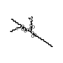 CCCCCCCCCCCCCCOC(=O)OCC(COC(=O)CC(=O)OC(CCCCCCCC)CCCCCCCC)COC(=O)OCCCN(CC)CC